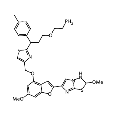 COc1cc(OCc2csc(C(CCOCCP)c3ccc(C)cc3)n2)c2cc(-c3cn4c(n3)SC(OC)N4)oc2c1